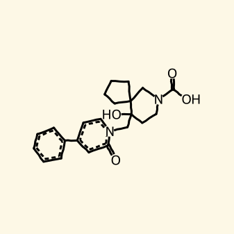 O=C(O)N1CCC(O)(Cn2ccc(-c3ccccc3)cc2=O)C2(CCCC2)C1